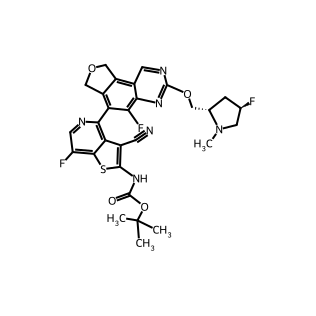 CN1C[C@H](F)C[C@H]1COc1ncc2c3c(c(-c4ncc(F)c5sc(NC(=O)OC(C)(C)C)c(C#N)c45)c(F)c2n1)COC3